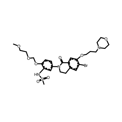 COCCOCOc1ccc(N2CCc3cc(Br)c(OCCCN4CCOCC4)cc3C2=O)cc1NS(C)(=O)=O